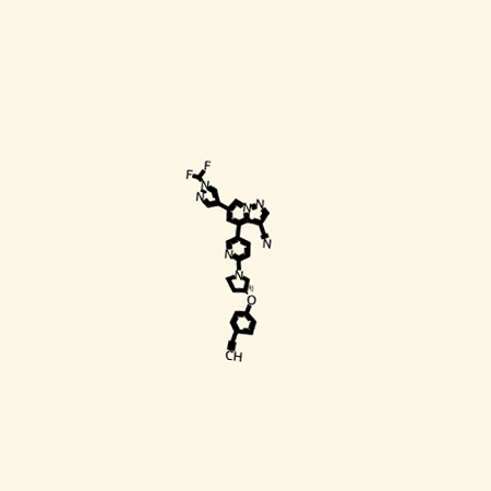 C#Cc1ccc(O[C@@H]2CCN(c3ccc(-c4cc(-c5cnn(C(F)F)c5)cn5ncc(C#N)c45)cn3)C2)cc1